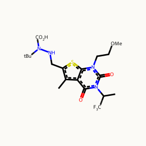 COCCn1c(=O)n(C(C)C(F)(F)F)c(=O)c2c(C)c(CNN(C(=O)O)C(C)(C)C)sc21